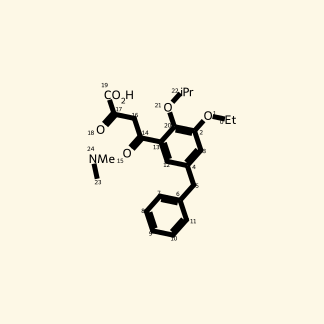 CCOc1cc(Cc2ccccc2)cc(C(=O)CC(=O)C(=O)O)c1OC(C)C.CNC